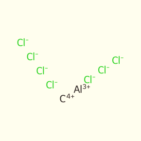 [Al+3].[C+4].[Cl-].[Cl-].[Cl-].[Cl-].[Cl-].[Cl-].[Cl-]